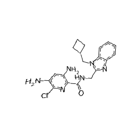 Nc1cc(N)c(C(=O)NCc2nc3ccccc3n2CC2CCC2)nc1Cl